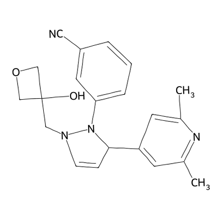 Cc1cc(C2C=CN(CC3(O)COC3)N2c2cccc(C#N)c2)cc(C)n1